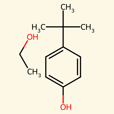 CC(C)(C)c1ccc(O)cc1.CCO